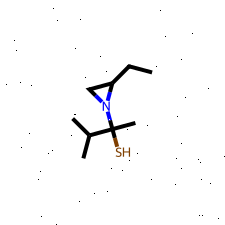 CCC1CN1C(C)(S)C(C)C